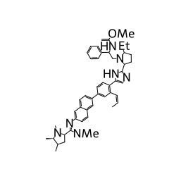 C=C(NC(CN1C(CC)CCC1c1ncc(-c2ccc(-c3ccc4cc(/N=C(\NC)C5CC(C)[C@@H](C)N5C)ccc4c3)cc2/C=C\C)[nH]1)c1ccccc1)OC